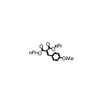 CCCOC(=O)C(=Cc1ccc(OC)cc1)C(=O)OCCC